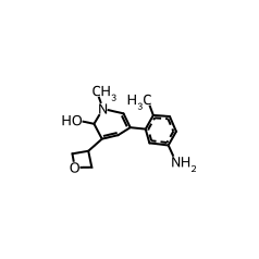 Cc1ccc(N)cc1C1=CN(C)C(O)C(C2COC2)=C1